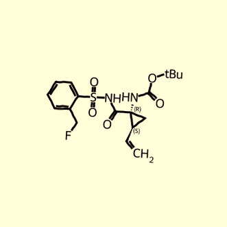 C=C[C@@H]1C[C@]1(NC(=O)OC(C)(C)C)C(=O)NS(=O)(=O)c1ccccc1CF